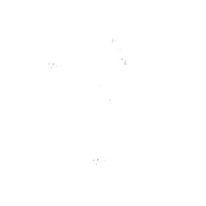 COCC[O][Al+][O]CCOC.[H-].[H-].[Na+].c1ccccc1